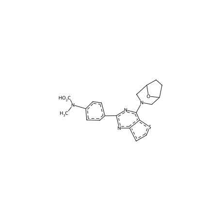 CN(C(=O)O)c1ccc(-c2nc(N3CC4CCC(C3)O4)c3sccc3n2)cc1